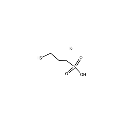 O=S(=O)(O)CCCS.[K]